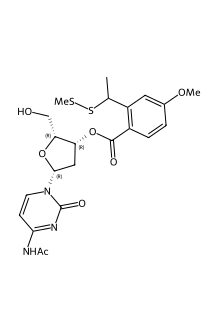 COc1ccc(C(=O)O[C@@H]2C[C@H](n3ccc(NC(C)=O)nc3=O)O[C@@H]2CO)c(C(C)SSC)c1